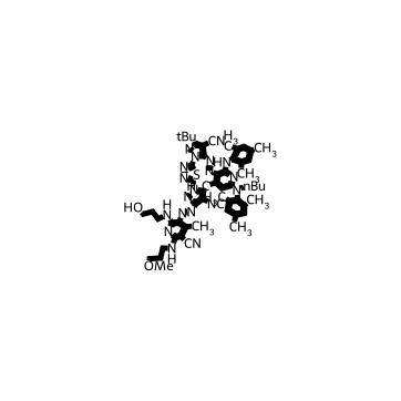 [C-]#[N+]c1cn(-c2nnc(-n3nc(C(C)(C)C)c(C#N)c3N=Nc3c(C)cc(N(CCCC)c4c(C)cc(C)cc4C)nc3Nc3c(C)cc(C)cc3C)s2)nc1N=Nc1c(NCCCO)nc(NCCCOC)c(C#N)c1C